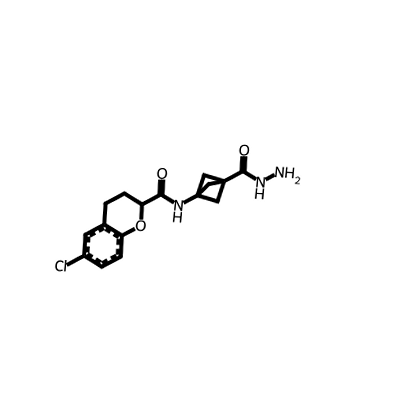 NNC(=O)C12CC(NC(=O)C3CCc4cc(Cl)ccc4O3)(C1)C2